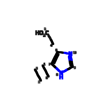 CC.CC.CC(=O)O.c1c[nH]cn1